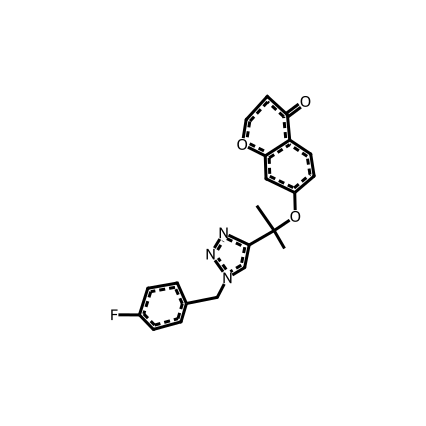 CC(C)(Oc1ccc2c(=O)ccoc2c1)c1cn(Cc2ccc(F)cc2)nn1